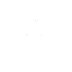 Nc1nsc(O)n1